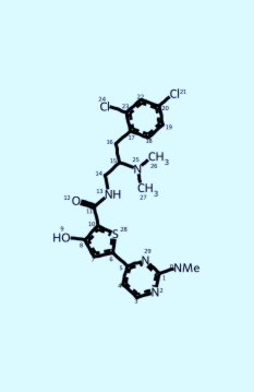 CNc1nccc(-c2cc(O)c(C(=O)NCC(Cc3ccc(Cl)cc3Cl)N(C)C)s2)n1